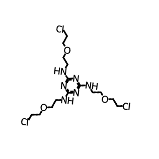 ClCCOCCNc1nc(NCCOCCCl)nc(NCCOCCCl)n1